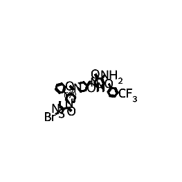 Cc1nc(Br)sc1C(=O)N1CC[C@@H](C(=O)N2CCC(O)(Cn3cnc(Oc4cccc(C(F)(F)F)c4)c(N)c3=O)CC2)[C@H](c2ccccc2)C1